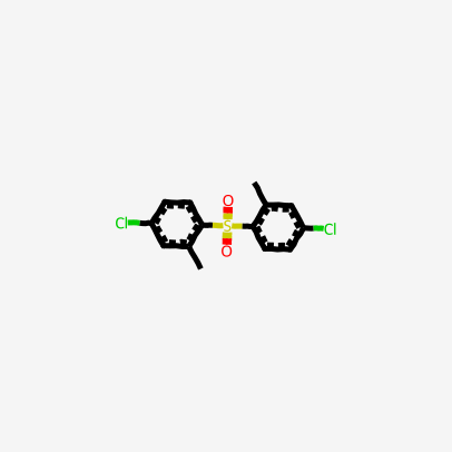 Cc1cc(Cl)ccc1S(=O)(=O)c1ccc(Cl)cc1C